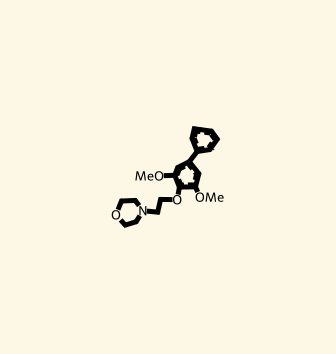 COc1cc(-c2[c]cccc2)cc(OC)c1OCCN1CCOCC1